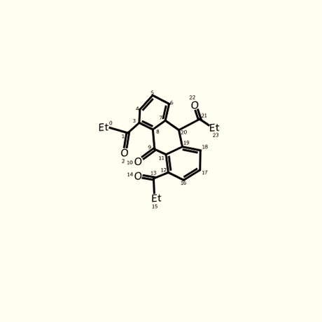 CCC(=O)c1cccc2c1C(=O)c1c(C(=O)CC)cccc1C2C(=O)CC